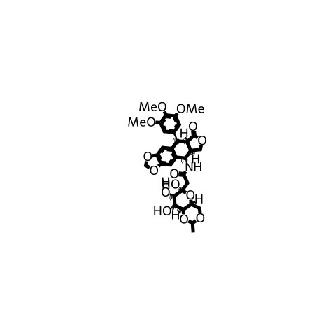 COc1cc([C@@H]2c3cc4c(cc3[C@@H](NC(=O)C[C@]3(O)O[C@@H]5COC(C)O[C@H]5[C@H](O)[C@H]3O)[C@H]3COC(=O)[C@H]23)OCO4)cc(OC)c1OC